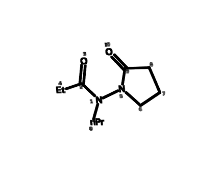 CCCN(C(=O)CC)N1CCCC1=O